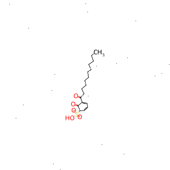 CCCCCCCCCCCC(=O)C1=CC=CC(S(=O)(=O)O)C1=O